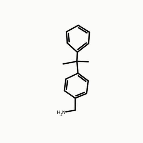 CC(C)(c1ccccc1)c1ccc(CN)cc1